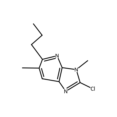 CCCc1nc2c(cc1C)nc(Cl)n2C